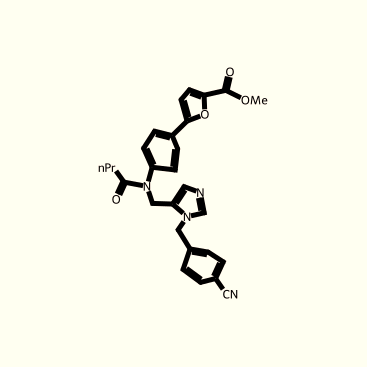 CCCC(=O)N(Cc1cncn1Cc1ccc(C#N)cc1)c1ccc(-c2ccc(C(=O)OC)o2)cc1